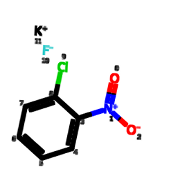 O=[N+]([O-])c1ccccc1Cl.[F-].[K+]